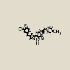 CN1CCN(Cc2cn3c(=O)c(O)c(-c4ncc(Cc5ccc(F)c(Cl)c5)s4)nc3s2)CC1